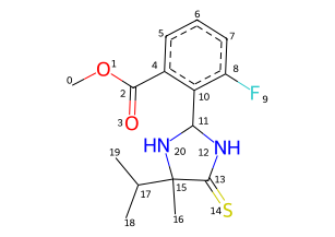 COC(=O)c1cccc(F)c1C1NC(=S)C(C)(C(C)C)N1